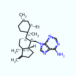 C=C1CC[C@H]2[C@H](Cn3cnc4c(N)ncnc43)[C@@H]([C@@]3(C)CC[C@H](C)C[C@@H]3CC)CC[C@]12C